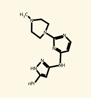 CCCc1cc(Nc2ccnc(N3CCN(C)CC3)n2)n[nH]1